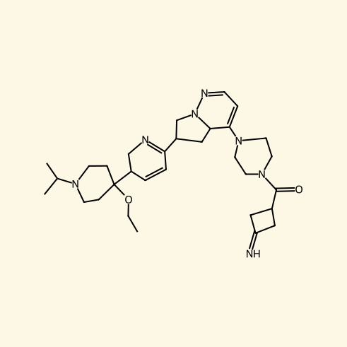 CCOC1(C2C=CC(C3CC4C(N5CCN(C(=O)C6CC(=N)C6)CC5)=CC=NN4C3)=NC2)CCN(C(C)C)CC1